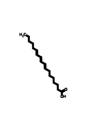 CCCCC/C=C/C=C/C=C/CCCCCCC(=O)O